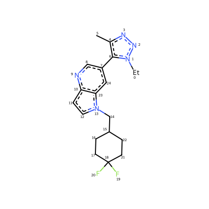 CCn1nnc(C)c1-c1cnc2ccn(CC3CCC(F)(F)CC3)c2c1